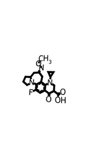 CO/N=C1/Cc2c(c(F)cc3c2N(C2CC2)CC(C(=O)O)C3=O)N2CCCC2C1